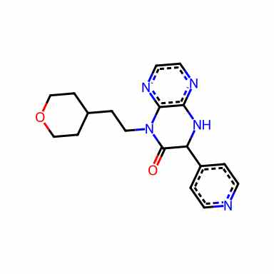 O=C1C(c2ccncc2)Nc2nccnc2N1CCC1CCOCC1